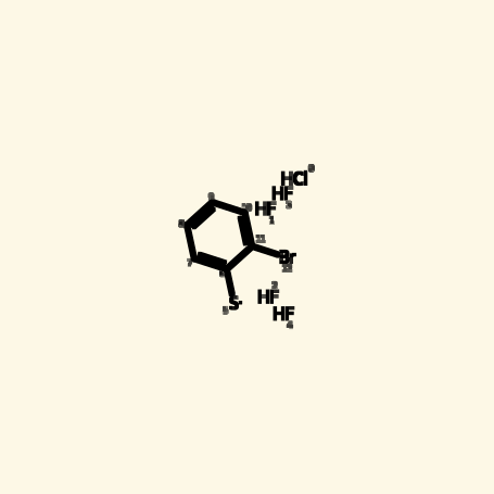 Cl.F.F.F.F.[S]c1ccccc1Br